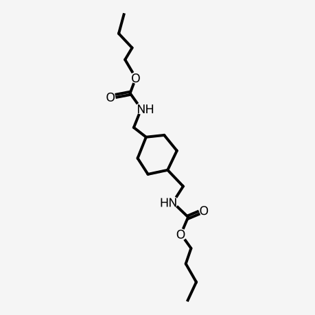 CCCCOC(=O)NCC1CCC(CNC(=O)OCCCC)CC1